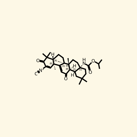 [C-]#[N+]C1=C[C@]2(C)C3=CC(=O)[C@@H]4[C@@H]5CC(C)(C)CC[C@]5(NC(=O)OC(C)C)CC[C@@]4(C)[C@]3(C)CC[C@H]2C(C)(C)C1=O